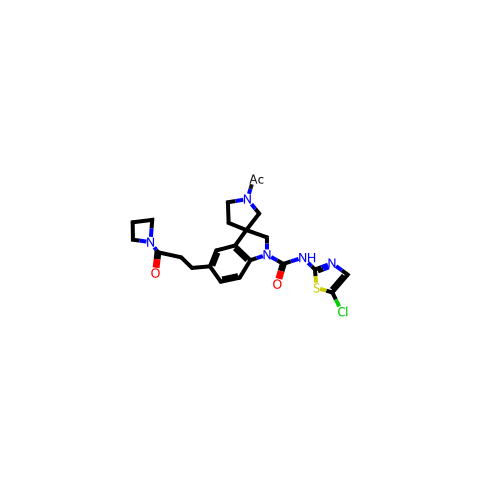 CC(=O)N1CCC2(C1)CN(C(=O)Nc1ncc(Cl)s1)c1ccc(CCC(=O)N3CCC3)cc12